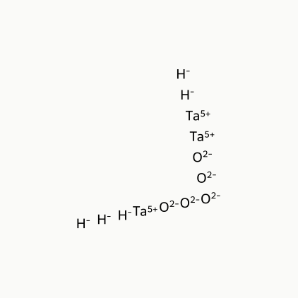 [H-].[H-].[H-].[H-].[H-].[O-2].[O-2].[O-2].[O-2].[O-2].[Ta+5].[Ta+5].[Ta+5]